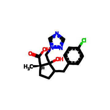 C[C@]1(C(=O)O)CCC(Cc2ccc(Cl)cc2)C1(O)Cn1cncn1